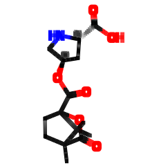 CC12CCC(C(=O)O[C@H]3CN[C@H](C(=O)O)C3)(OC1=O)C2(C)C